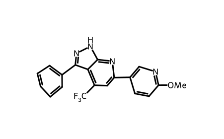 COc1ccc(-c2cc(C(F)(F)F)c3c(-c4ccccc4)n[nH]c3n2)cn1